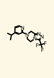 CC(C)c1ccnc(N2CCn3c(nnc3C(F)(F)F)C2)c1